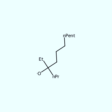 CCCCCCCCC([O])(CC)CCC